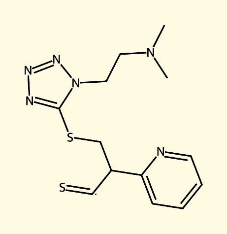 CN(C)CCn1nnnc1SCC([C]=S)c1ccccn1